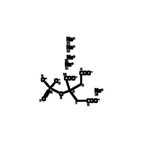 O=C([O-])CC(CC(=O)[O-])(OP(=O)([O-])[O-])C(=O)[O-].[Na+].[Na+].[Na+].[Na+].[Na+]